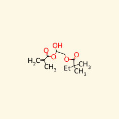 C=C(C)C(=O)OC(O)COC(=O)C(C)(C)CC